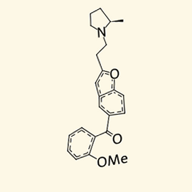 COc1ccccc1C(=O)c1ccc2oc(CCN3CCC[C@H]3C)cc2c1